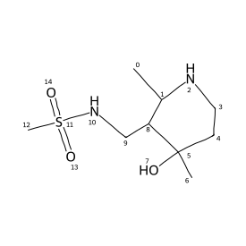 CC1NCCC(C)(O)C1CNS(C)(=O)=O